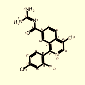 NC(N)=NC(=O)c1ccc2c(Cl)cnc(-c3ccc(Cl)cc3F)c2c1